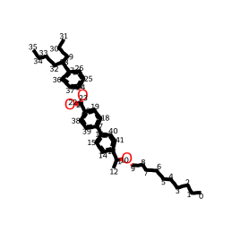 CCCCCCCCCCOC(C)c1ccc(-c2ccc(C(=O)Oc3ccc(C(CCC)CCCC)cc3)cc2)cc1